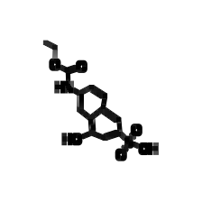 CCOC(=O)Nc1ccc2cc(S(=O)(=O)O)cc(O)c2c1